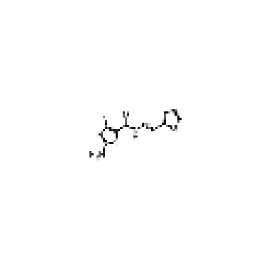 Cc1nc(N)sc1C(=O)N/N=C/c1ccco1